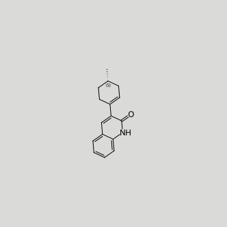 C[C@@H]1CC=C(c2cc3ccccc3[nH]c2=O)CC1